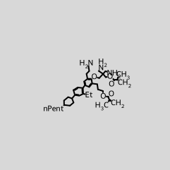 C=C(C)C(=O)OCCCc1cc(-c2ccc(C3CCC(CCCCC)CC3)cc2CC)cc(CCCN)c1OCC(CN)(CN)COC(=O)C(=C)C